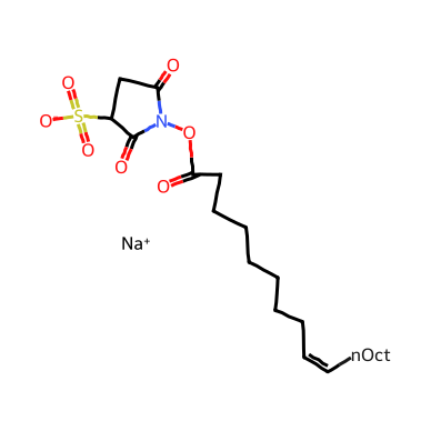 CCCCCCCC/C=C\CCCCCCCC(=O)ON1C(=O)CC(S(=O)(=O)[O-])C1=O.[Na+]